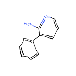 Nc1ncccc1-c1c[c]ccc1